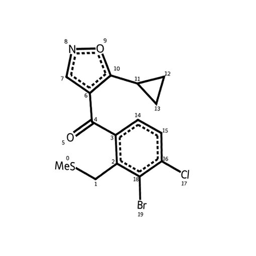 CSCc1c(C(=O)c2cnoc2C2CC2)ccc(Cl)c1Br